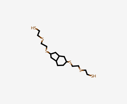 SCCSCCSC1CCC2CC(SCCSCCS)CC2C1